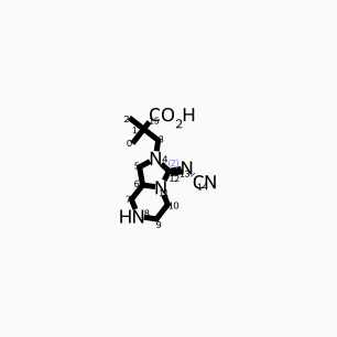 CC(C)(CN1CC2CNCCN2/C1=N\C#N)C(=O)O